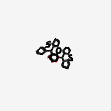 c1ccc(C2c3ccccc3Sc3cccc(Oc4cccc5c4C(c4ccccc4)c4ccccc4S5)c32)cc1